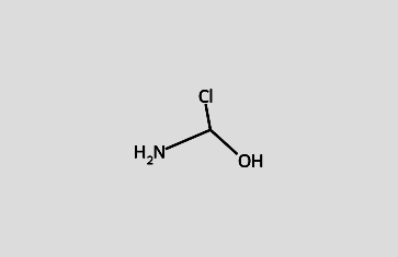 NC(O)Cl